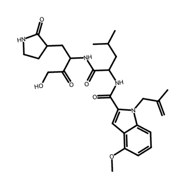 C=C(C)Cn1c(C(=O)NC(CC(C)C)C(=O)NC(CC2CCNC2=O)C(=O)CO)cc2c(OC)cccc21